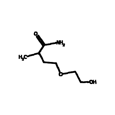 CC(CCOCCO)C(N)=O